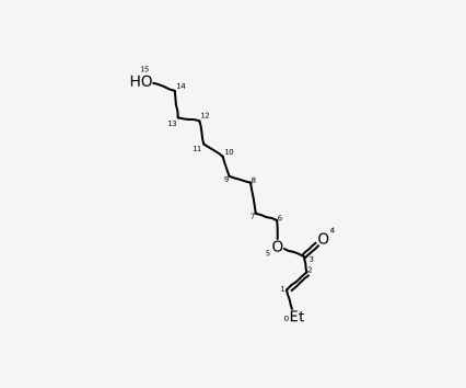 CCC=CC(=O)OCCCCCCCCCO